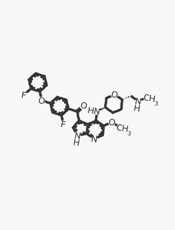 CNC[C@@H]1CC[C@@H](Nc2c(OC)cnc3[nH]cc(C(=O)c4ccc(Oc5ccccc5F)cc4F)c23)CO1